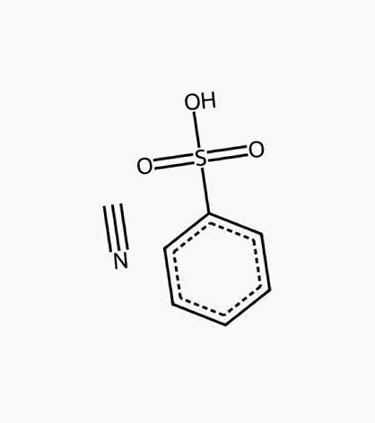 C#N.O=S(=O)(O)c1ccccc1